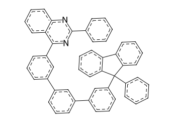 c1ccc(-c2nc(-c3cccc(-c4cccc(-c5cccc(C6(c7ccccc7)c7ccccc7-c7ccccc76)c5)c4)c3)c3ccccc3n2)cc1